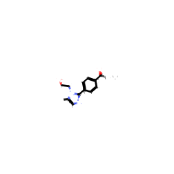 COC(=O)c1ccc(C2NC=C(C(F)(F)F)N2CCO)cc1